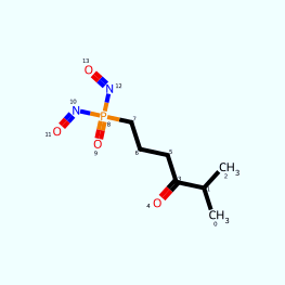 CC(C)C(=O)CCCP(=O)(N=O)N=O